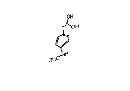 O=CNc1ccc(OB(O)O)cc1